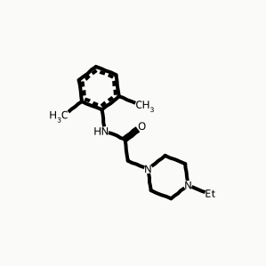 CCN1CCN(CC(=O)Nc2c(C)cccc2C)CC1